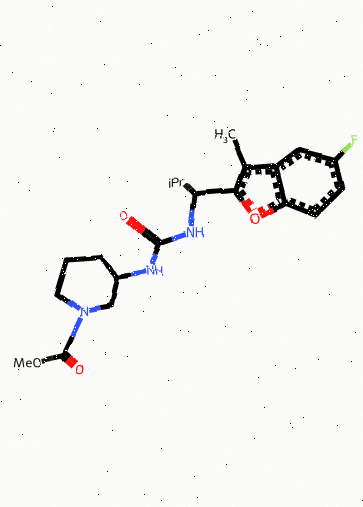 COC(=O)N1CCCC(NC(=O)NC(c2oc3ccc(F)cc3c2C)C(C)C)C1